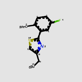 COc1ccc(F)cc1-c1nc(CC(C)(C)C)cs1